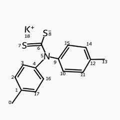 Cc1ccc(N(C(=S)[S-])c2ccc(C)cc2)cc1.[K+]